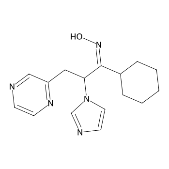 O/N=C(/C1CCCCC1)C(Cc1cnccn1)n1ccnc1